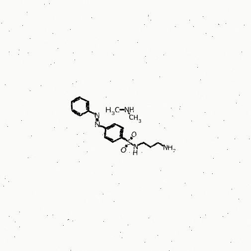 CNC.NCCCNS(=O)(=O)c1ccc(N=Nc2ccccc2)cc1